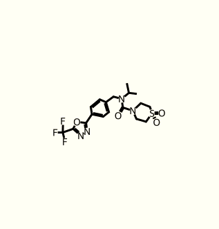 CC(C)N(Cc1ccc(-c2nnc(C(F)(F)F)o2)cc1)C(=O)N1CCS(=O)(=O)CC1